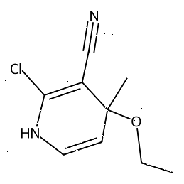 CCOC1(C)C=CNC(Cl)=C1C#N